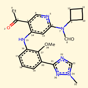 CCC(=O)c1cnc(N(C=O)C2CCC2)cc1Nc1cccc(-c2ncn(C)n2)c1OC